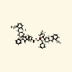 Cc1csc(C2(N(C(=O)COC(=O)C(=O)OCC(=O)N(c3ccccc3)C3(c4nc(C)cs4)CCN(Cc4c(C)cccc4C)CC3)c3ccccc3)CCN(Cc3c(C)cccc3C)CC2)n1